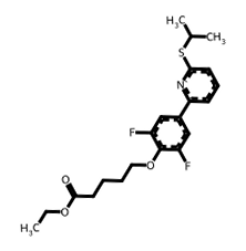 CCOC(=O)CCCCOc1c(F)cc(-c2cccc(SC(C)C)n2)cc1F